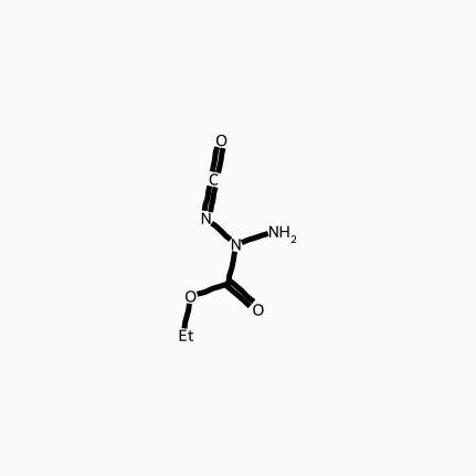 CCOC(=O)N(N)N=C=O